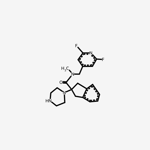 CN(Cc1cc(F)nc(F)c1)C(=O)C1(N2CCNCC2)Cc2ccccc2C1